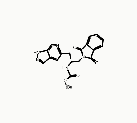 CC(C)(C)OC(=O)N[C@@H](Cc1cc2cn[nH]c2cn1)CN1C(=O)c2ccccc2C1=O